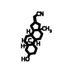 C[C@@]12CC[C@@H]3[C@H](CC[C@@H]4CC(O)CC[C@]43C)C1CC(=CC#N)C2